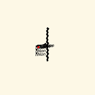 CCCCCCCCCC.CCCCCCCCCC.CCCCCCCCCC.CCCCCCCCCC.CCCCCCCCCC.CCCCCCCCCC.CCCCCCCCCC.CCCCCCCCCC.CCCCCCCCCC.CCCCCCCCCCCCCCCCCCCC